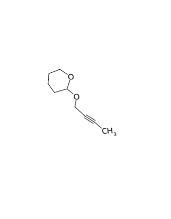 CC#CCOC1CCCCO1